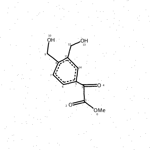 COC(=O)C(=O)c1ccc(CO)c(CO)c1